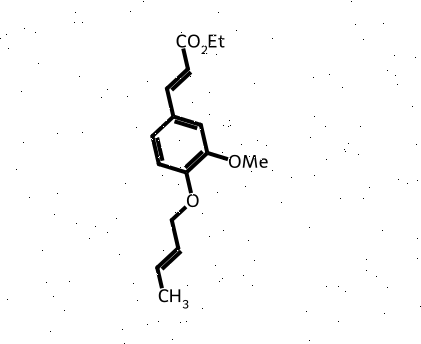 CC=CCOc1ccc(C=CC(=O)OCC)cc1OC